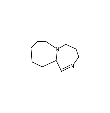 C1=NCCCN2CCCCCC12